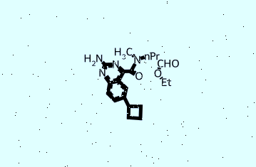 CCCN(C)C(=O)c1nc(N)nc2ccc(C3CCC3)cc12.CCOC=O